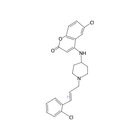 O=c1cc(NC2CCN(C/C=C/c3ccccc3Cl)CC2)c2cc(Cl)ccc2o1